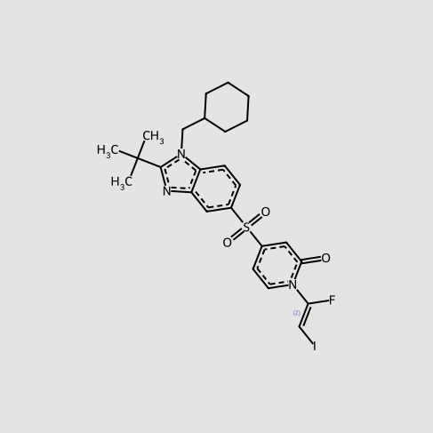 CC(C)(C)c1nc2cc(S(=O)(=O)c3ccn(/C(F)=C/I)c(=O)c3)ccc2n1CC1CCCCC1